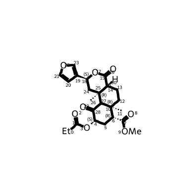 CCC(=O)O[C@H]1C[C@@H](C(=O)OC)[C@]2(C)CC[C@H]3C(=O)O[C@H](c4ccoc4)C[C@]3(C)C2C1=O